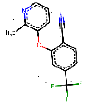 Cc1ncccc1Oc1cc(C(F)(F)F)ccc1C#N